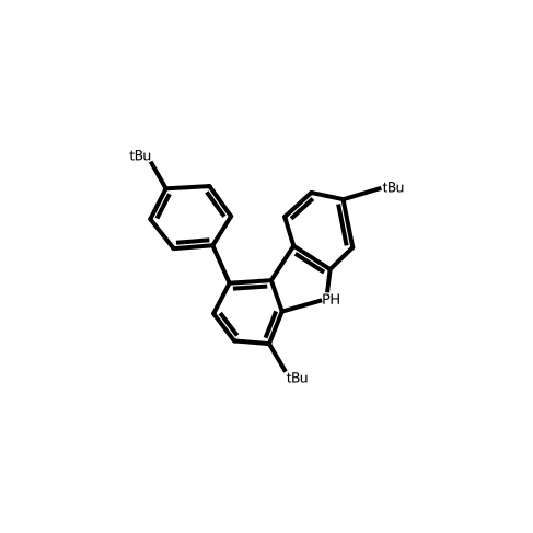 CC(C)(C)c1ccc(-c2ccc(C(C)(C)C)c3[pH]c4cc(C(C)(C)C)ccc4c23)cc1